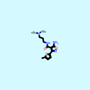 CCCCN(CCCC)CCCNC(=O)c1c(-c2ccc(C)s2)noc1N